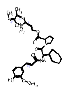 C\N=C(C)/C(C)=N\C(C)=C\COC(=O)C1CCCN1C(=O)C(NC(=O)/C=C/c1ccc(O)c(OC)c1)C1CCCCC1